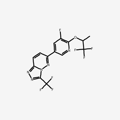 CC(Oc1ncc(-c2ccc3nnc(C(F)(F)F)n3n2)cc1F)C(F)(F)F